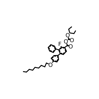 CCCCCCCCCOc1ccc(-c2ccc(C(=O)OC(=O)OC(CC)CC)c(F)c2-c2ccccc2)cc1